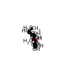 CC(C)=CCc1cc(-c2coc3c(C(C=C(C)C)c4cc(-c5coc6cc(O)cc(O)c6c5=O)ccc4O)c(O)cc(O)c3c2=O)ccc1O